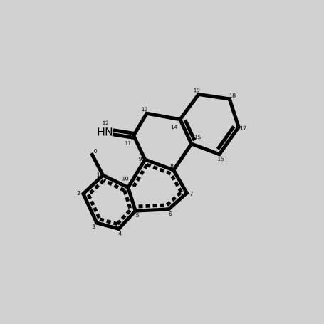 Cc1cccc2ccc3c(c12)C(=N)CC1=C3C=CCC1